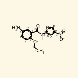 CCOc1ccc(N)cc1C(=O)Nc1ncc([N+](=O)[O-])s1